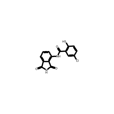 O=C(Nc1cccc2c1C(=O)NC2=O)c1cc(Cl)ccc1S